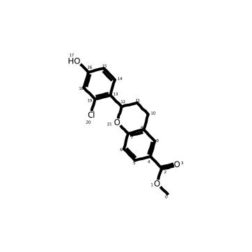 COC(=O)c1ccc2c(c1)CCC(c1ccc(O)cc1Cl)O2